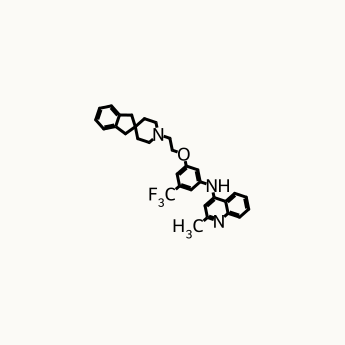 Cc1cc(Nc2cc(OCCN3CCC4(CC3)Cc3ccccc3C4)cc(C(F)(F)F)c2)c2ccccc2n1